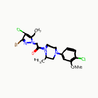 COc1cc(N2CCN(C(=O)Cn3nc(Br)c(Cl)c3C)C(C)C2)ccc1Cl